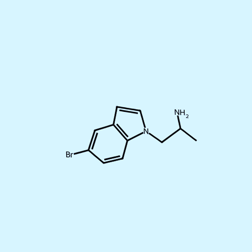 CC(N)Cn1ccc2cc(Br)ccc21